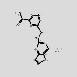 NC(=O)c1cncc(CNc2nc(C(=O)O)c3sccc3n2)c1